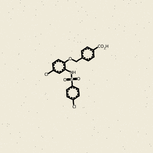 O=C(O)c1ccc(COc2ccc(Cl)cc2NS(=O)(=O)c2ccc(Cl)cc2)cc1